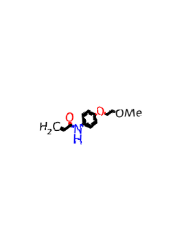 C=CC(=O)Nc1ccc(OCCOC)cc1